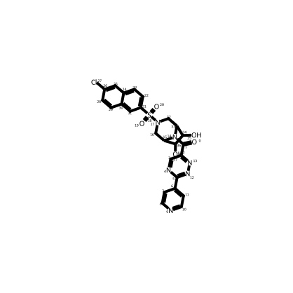 O=C(c1cnc(-c2ccncc2)nn1)N1C2CN(S(=O)(=O)c3ccc4cc(Cl)ccc4c3)CC1C(O)C2O